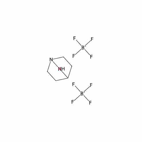 C1CN2CCC1CN2.F[B-](F)(F)F.F[B-](F)(F)F